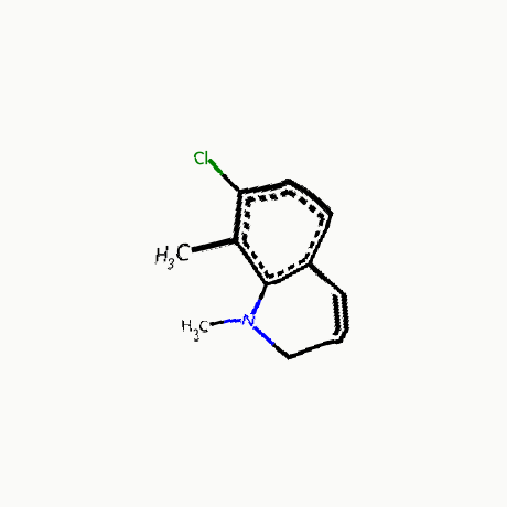 Cc1c(Cl)ccc2c1N(C)CC=C2